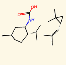 CC(C)=C[C@H]1CC1(C)C.CC(C)[C@@H]1CC[C@@H](C)C[C@H]1NC(=O)O